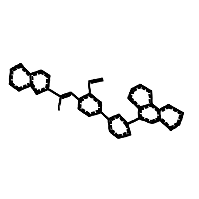 C=Cc1cc(-c2cccc(-c3cc4ccccc4c4ccccc34)c2)ccc1/C=C(\I)c1ccc2ccccc2c1